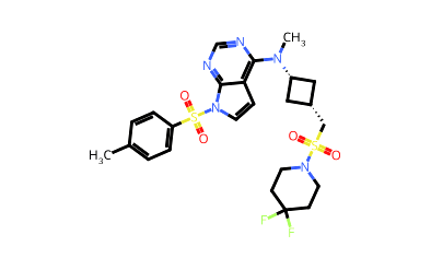 Cc1ccc(S(=O)(=O)n2ccc3c(N(C)[C@H]4C[C@@H](CS(=O)(=O)N5CCC(F)(F)CC5)C4)ncnc32)cc1